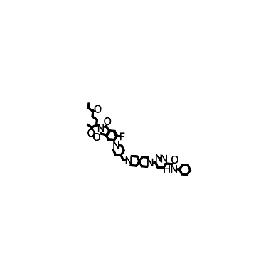 CCC(=O)CCC(C(C)=O)N1C(=O)c2cc(F)c(N3CCC(CN4CCC5(CC4)CCN(c4ccc(C(=O)NC6CCCCC6)nn4)CC5)CC3)cc2C1=O